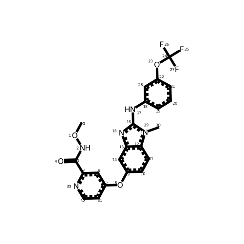 CONC(=O)c1cc(Oc2ccc3c(c2)nc(Nc2cccc(OC(F)(F)F)c2)n3C)ccn1